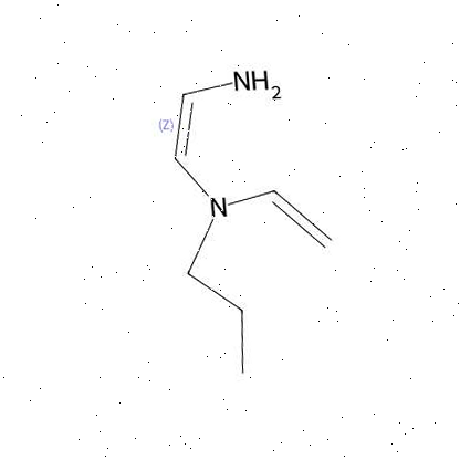 C=CN(/C=C\N)CCC